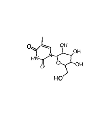 Cc1cn(C2OC(CO)C(O)C(O)C2O)c(=O)[nH]c1=O